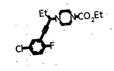 CCOC(=O)N1CCN(C(C#Cc2cc(Cl)ccc2F)CC)CC1